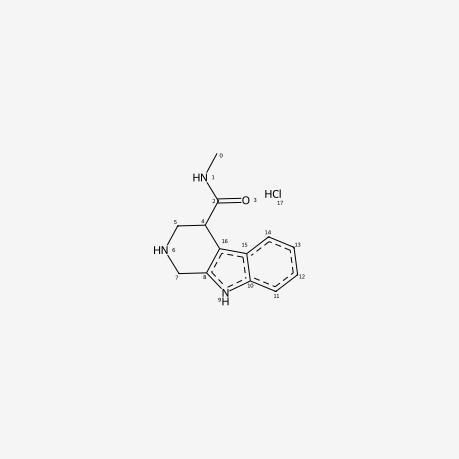 CNC(=O)C1CNCc2[nH]c3ccccc3c21.Cl